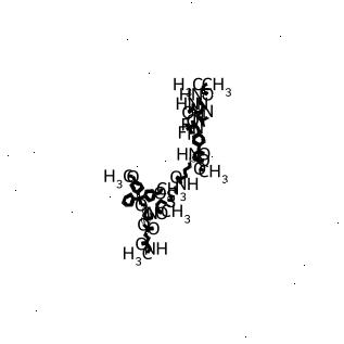 CNC(=O)CCC(=O)O[C@@H]1C[C@@H](COC(c2ccccc2)(c2ccc(OC)cc2)c2ccc(OC)cc2)N(C(=O)CCC(C)SSCCNC(=O)CCCC[C@H](NC(=O)c2ccc(N(Cc3cnc4nc(NC(=O)C(C)C)[nH]c(=O)c4n3)C(=O)C(F)(F)F)cc2)C(=O)OC)C1